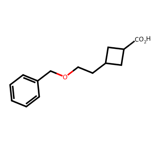 O=C(O)C1CC(CCOCc2ccccc2)C1